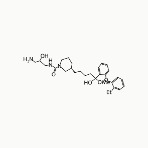 CCc1ccccc1Oc1ccccc1C(O)(CCCC[C@@H]1CCCN(C(=O)NCC(O)CN)C1)OC